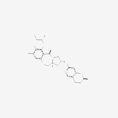 CC[C@@H](C)Oc1c(F)c(C)cc2c1C(=O)N1C[C@@H](Oc3cc4c(cn3)CCC(=O)N4)C[C@@H]1CO2